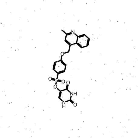 Cc1cc(COc2ccc(S(=O)(=O)Oc3c[nH]c(=O)[nH]c3=O)cc2)c2ccccc2n1